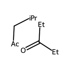 CC(=O)CC(C)C.CCC(=O)CC